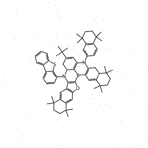 CC(C)(C)C1=CC2=C3B(C4=C(CC5C(=C4)C(C)(C)CCC5(C)C)N2c2ccc4c(c2)C(C)(C)CCC4(C)C)c2oc4cc5c(cc4c2N(c2cccc4c2sc2ccccc24)C3C1)C(C)(C)CCC5(C)C